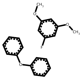 COc1cc(F)cc(OC)c1.c1ccc(Oc2ccccc2)cc1